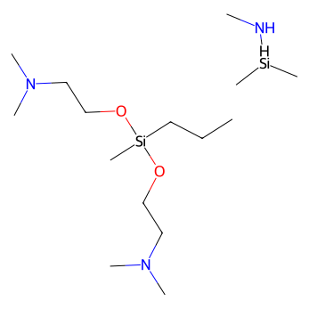 CCC[Si](C)(OCCN(C)C)OCCN(C)C.CN[SiH](C)C